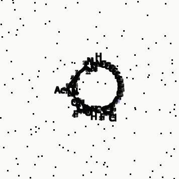 CC(=O)c1nn2c3ccc(cc13)-c1cnc(nc1)NCCCCCCCCC/C=C\c1cc(Cl)c(F)c(c1)CNC(=O)[C@@H]1C[C@@H](F)CN1C(=O)C2